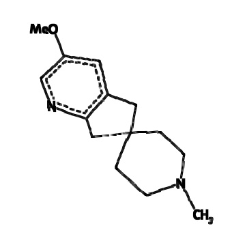 COc1cnc2c(c1)CC1(CCN(C)CC1)C2